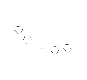 c1ccc(-c2ccc(OCOCOc3ccc(-c4ccccc4)cc3)cc2)cc1